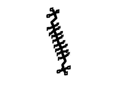 FC(F)(CC[Si](Cl)(Cl)Cl)C(F)(F)C(F)(F)C(F)(F)C(F)(F)C(F)(F)C(F)(F)C(F)(F)CC[Si](Cl)(Cl)Cl